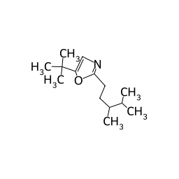 CC(C)C(C)CCc1ncc(C(C)(C)C)o1